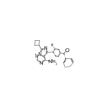 Nc1ncnn2c(C3CCC3)nc(-c3ccc(C(=O)C4=CCCC=C4)cc3F)c12